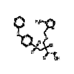 Cn1ccnc1CSCC(O)(CS(=O)(=O)c1ccc(Oc2ccccc2)cc1)C(=O)NO